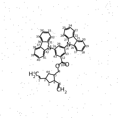 C=CC1CC(C=C)C(COC(=O)c2cc(-n3c4ccccc4c4ccccc43)cc(-n3c4ccccc4c4ccccc43)c2)C1